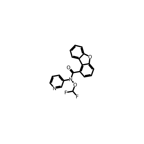 O=C(c1cccc2oc3ccccc3c12)N(OC(F)F)c1cccnc1